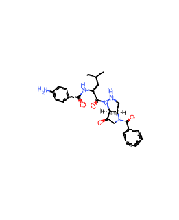 CC(C)CC(NC(=O)c1ccc(N)cc1)C(=O)N1NC[C@@H]2[C@H]1C(=O)CN2C(=O)c1ccccc1